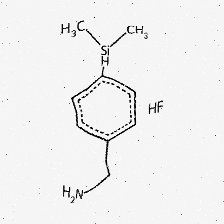 C[SiH](C)c1ccc(CN)cc1.F